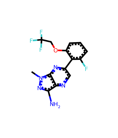 Cn1nc(N)c2ncc(-c3c(F)cccc3OCC(F)(F)F)nc21